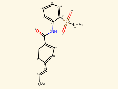 CCCCC=Cc1ccc(C(=O)Nc2ccccc2S(=O)(=O)NC(C)=O)cc1